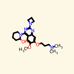 COc1cc2c(N3CCCCC3O)nc(N3CCC3)nc2cc1OCCCN(C)C